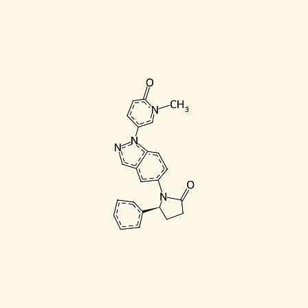 Cn1cc(-n2ncc3cc(N4C(=O)CC[C@H]4c4ccccc4)ccc32)ccc1=O